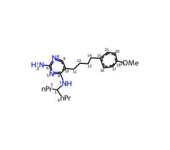 CCCC(CCC)Nc1nc(N)ncc1CCCCc1ccc(OC)cc1